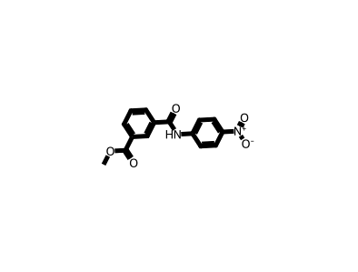 COC(=O)c1cccc(C(=O)Nc2ccc([N+](=O)[O-])cc2)c1